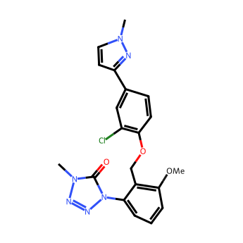 COc1cccc(-n2nnn(C)c2=O)c1COc1ccc(-c2ccn(C)n2)cc1Cl